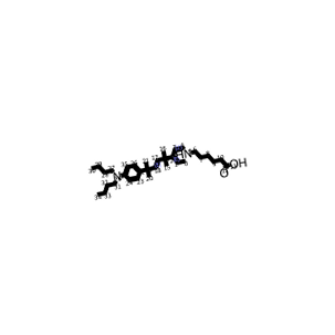 C/C=C(\C=C/NCCCCCC(=O)O)C(C)(C)/C=C/C(C)(C)c1ccc(N(CCCC)CCCC)cc1